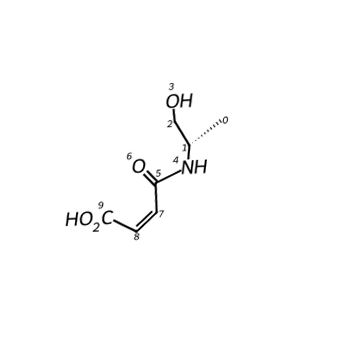 C[C@@H](CO)NC(=O)/C=C\C(=O)O